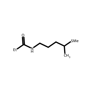 CCC(=O)NCCCC(C)SC